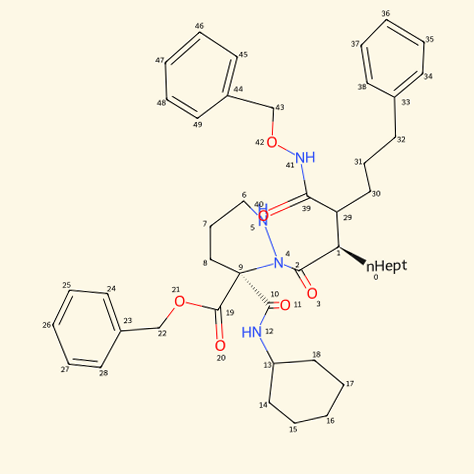 CCCCCCC[C@@H](C(=O)N1NCCC[C@]1(C(=O)NC1CCCCC1)C(=O)OCc1ccccc1)C(CCCc1ccccc1)C(=O)NOCc1ccccc1